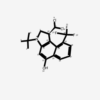 CC(C)(C)N1C[C@@H](C(Cl)Cl)c2c1cc(O)c1cccc(C(F)(F)F)c21